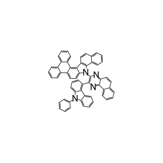 c1ccc(-n2c3ccccc3c3c(-c4nc5c(ccc6ccccc65)nc4-n4c5ccc6c7ccccc7c7ccccc7c6c5c5ccc6ccccc6c54)cccc32)cc1